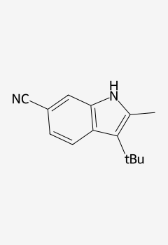 Cc1[nH]c2cc(C#N)ccc2c1C(C)(C)C